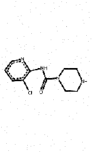 O=C(Nc1ncccc1Cl)N1CCNCC1